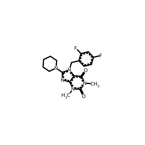 Cn1c(=O)c2c(nc(N3CCCCC3)n2Cc2ccc(F)cc2F)n(C)c1=O